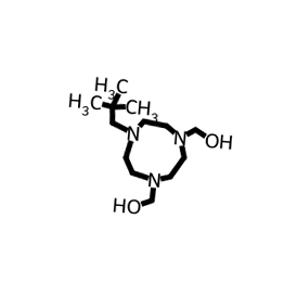 CC(C)(C)CN1CCN(CO)CCN(CO)CC1